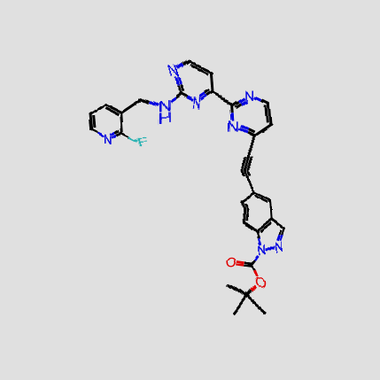 CC(C)(C)OC(=O)n1ncc2cc(C#Cc3ccnc(-c4ccnc(NCc5cccnc5F)n4)n3)ccc21